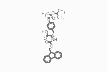 CC(C)OP(C)(=O)Oc1ccc(C[C@H](NC(=O)OCC2c3ccccc3-c3ccccc32)C(=O)O)cc1